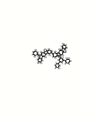 c1ccc(-c2cc(-c3ccccc3)cc(-n3c4ccc(-c5ccc6oc7cc8c(cc7c6c5)c5ccccc5n8-c5ccccc5)cc4c4cc5c(cc43)oc3ccccc35)c2)cc1